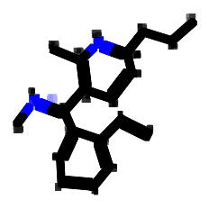 C=Cc1ccccc1/C(=N\C)c1ccc(CCC)nc1C